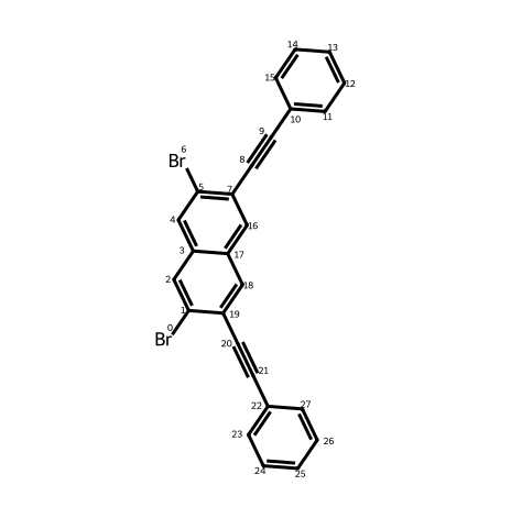 Brc1cc2cc(Br)c(C#Cc3ccccc3)cc2cc1C#Cc1ccccc1